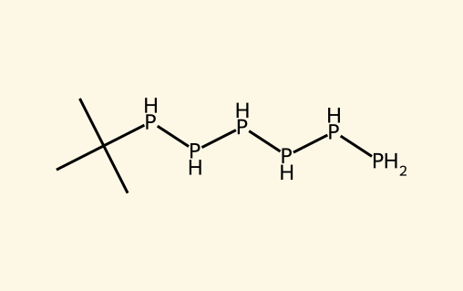 CC(C)(C)PPPPPP